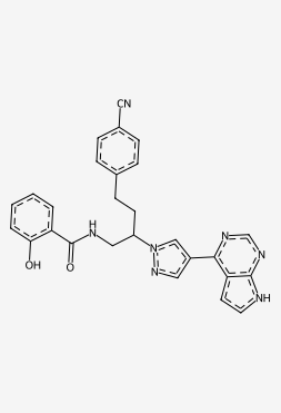 N#Cc1ccc(CCC(CNC(=O)c2ccccc2O)n2cc(-c3ncnc4[nH]ccc34)cn2)cc1